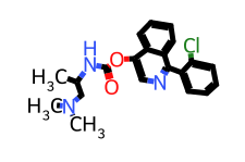 CC(CN(C)C)NC(=O)Oc1cnc(-c2ccccc2Cl)c2ccccc12